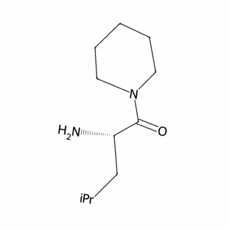 CC(C)C[C@H](N)C(=O)N1CCCCC1